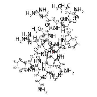 CC[C@H](C)[C@H](NC(=O)[C@H](Cc1c[nH]c2ccccc12)NC(=O)[C@H](CCCN=C(N)N)NC(=O)[C@@H](NC(=O)[C@H](Cc1c[nH]c2ccccc12)NC(=O)[C@H](CCCN=C(N)N)NC(=O)[C@H](CCCN=C(N)N)NC(=O)[C@H](Cc1c[nH]c2ccccc12)NC(=O)[C@H](CCCCN)NC(C)=O)C(C)C)C(N)=O